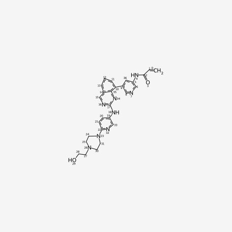 C=CC(=O)Nc1cncc(-c2cccc3cnc(Nc4ccc(N5CCN(CCO)CC5)nc4)nc23)c1